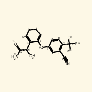 N#Cc1cc(OC2=CC[CH]C=C2C(O)C(N)=O)ccc1C(F)(F)F